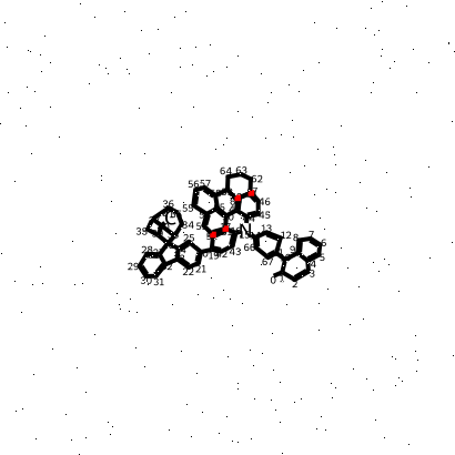 CC1C=Cc2ccccc2C1c1ccc(N(c2ccc(-c3ccc4c(c3)C3(c5ccccc5-4)C4CC5CC6CC3C64C5)cc2)c2ccccc2-c2cccc3cccc(C4CCCCC4)c23)cc1